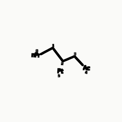 CCCCCCC(C)=O.[Pt]